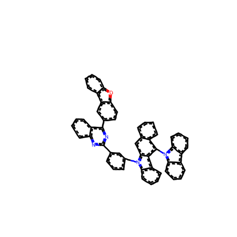 c1cc(-c2nc(-c3ccc4oc5ccccc5c4c3)c3ccccc3n2)cc(-n2c3ccccc3c3c(-n4c5ccccc5c5ccccc54)c4ccccc4cc32)c1